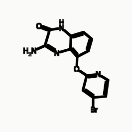 Nc1nc2c(Oc3cc(Br)ccn3)cccc2[nH]c1=O